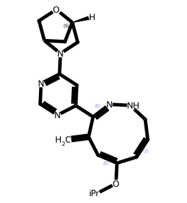 C=C1/C=C(OC(C)C)\C=C/CN/N=C\1c1cc(N2C[C@@H]3CC2CO3)ncn1